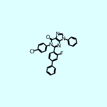 O=c1c2ncn(-c3ccccc3)c2nc(-c2ccc(-c3ccccc3)cc2F)n1-c1ccc(Cl)cc1